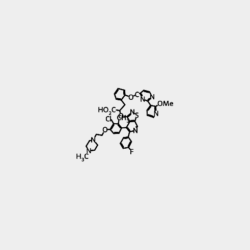 COc1ncccc1-c1nccc(COc2ccccc2CC(Oc2nsc3cnc(-c4cccc(F)c4)c(-c4ccc(OCCN5CCN(C)CC5)c(Cl)c4C)c23)C(=O)O)n1